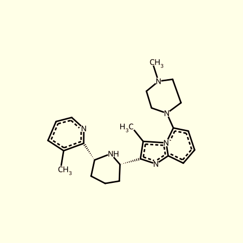 Cc1cccnc1[C@H]1CCC[C@@H](c2nc3cccc(N4CCN(C)CC4)n3c2C)N1